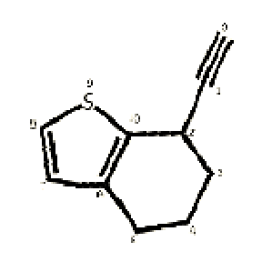 C#CC1CCCc2ccsc21